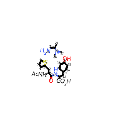 CC(=O)N[C@@H](Cc1cccs1)C(=O)N[C@@H](CC1C=CC(O)=CC1)C(=O)O.CC(CN)N(C)C